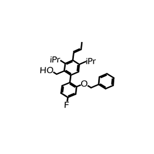 CC=Cc1c(C(C)C)cc(-c2ccc(F)cc2OCc2ccccc2)c(CO)c1C(C)C